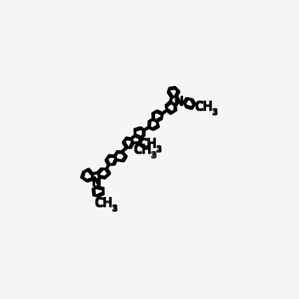 Cc1ccc(-n2c3ccccc3c3cc(-c4ccc5cc(-c6ccc7c(c6)C(C)(C)c6cc(-c8ccc9cc(-c%10ccc%11c(c%10)c%10ccccc%10n%11-c%10ccc(C)cc%10)ccc9c8)ccc6-7)ccc5c4)ccc32)cc1